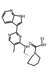 CCNC(=O)N1CCCC[C@@H]1CNc1nc(-c2c[nH]c3ncccc23)ncc1F